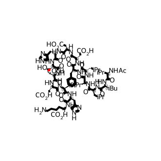 CC[C@H](C)[C@H](NC(=O)[C@@H](NC(C)=O)C(C)C)C(=O)N[C@@H](CC(C)C)C(=O)N[C@H](C(=O)N[C@@H](CC(C)C)C(=O)N[C@@H](Cc1ccccc1)C(=O)N[C@@H](CC(=O)O)C(=O)N[C@@H](CC(=O)O)C(=O)N[C@@H](Cc1c[nH]cn1)C(=O)N[C@@H](CO)C(=O)N[C@@H](CC(=O)O)C(=O)N[C@@H](CC(=O)O)C(=O)N[C@H](C(=O)N[C@@H](Cc1c[nH]cn1)C(=O)N[C@@H](CCCCN)C(=O)O)C(C)C)C(C)C